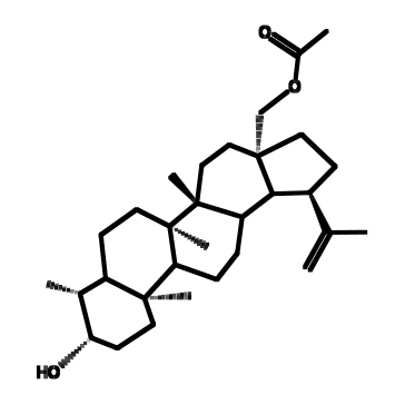 C=C(C)[C@@H]1CC[C@]2(COC(C)=O)CC[C@]3(C)C(CCC4[C@@]5(C)CC[C@H](O)[C@H](C)C5CC[C@]43C)C12